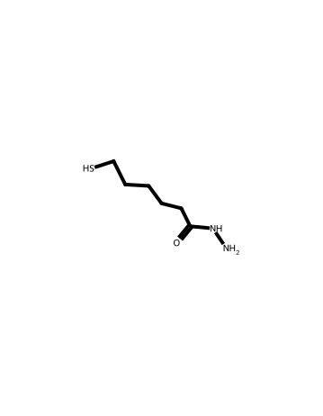 NNC(=O)CCCCCS